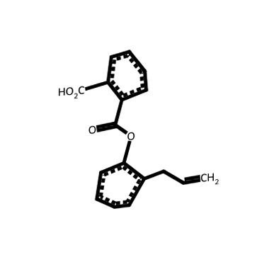 C=CCc1ccccc1OC(=O)c1ccccc1C(=O)O